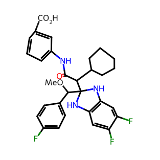 COC(c1ccc(F)cc1)C1(C(C(=O)Nc2cccc(C(=O)O)c2)C2CCCCC2)Nc2cc(F)c(F)cc2N1